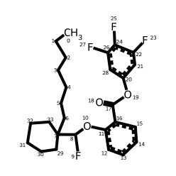 CCCCCCCC1(C(F)Oc2ccccc2C(=O)Oc2cc(F)c(F)c(F)c2)CCCCC1